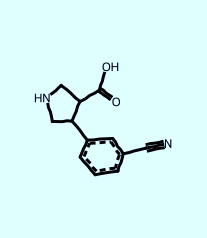 N#Cc1cccc(C2CNCC2C(=O)O)c1